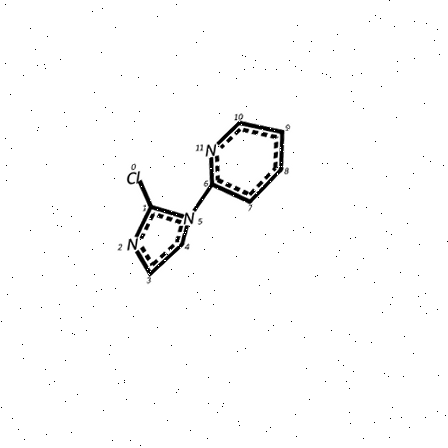 Clc1nccn1-c1ccccn1